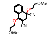 COCCOC1=C(C#N)CC(C#N)(OCCOC)c2ccccc21